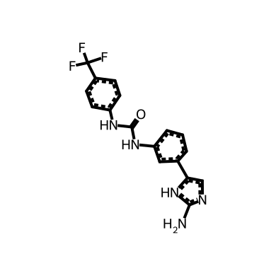 Nc1ncc(-c2cccc(NC(=O)Nc3ccc(C(F)(F)F)cc3)c2)[nH]1